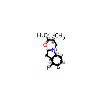 CC(=O)[C@H](C)CN1CCc2c(F)cccc21